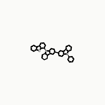 C1=Cc2c(c3cc(-c4ccc5c(c4)c4ccccc4n5-c4ccccc4)ccc3n2-c2cccc3c2oc2ccccc23)CC1